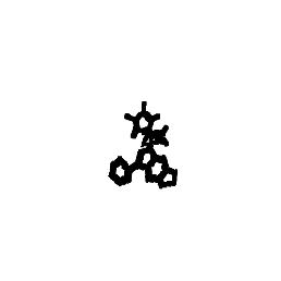 CC1=C(C)[CH]([Zr]([CH]2C=C(c3ccccc3)c3cc4c(cc32)CCC4)=[Si](C)C)C(C)=C1C